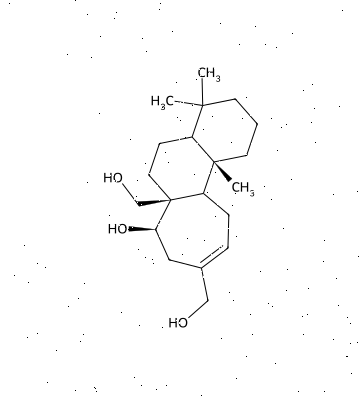 CC1(C)CCC[C@@]2(C)C1CC[C@]1(CO)C2CC=C(CO)C[C@H]1O